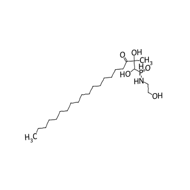 CCCCCCCCCCCCCCCCCC(=O)C(C)(O)C(O)[PH](=O)NCCO